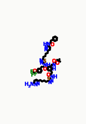 CC(C)(C)OC(=O)NCc1cc(CC(=O)Nc2nnc(CCCCc3ccc(N)nn3)s2)cc(OC(Cc2cccc(OC(F)(F)F)c2)Nc2nnc(CCCCc3ccc(NC(=O)Cc4ccccc4)nn3)s2)c1